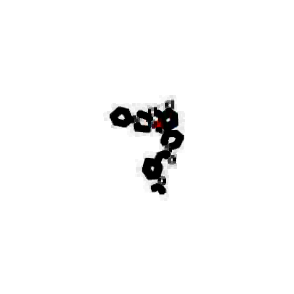 CC(C)Oc1cccc(CC(=O)N2CCC[C@](CCN3CCN(C4CCCCC4)CC3)(c3ccc(Cl)c(Cl)c3)C2)c1